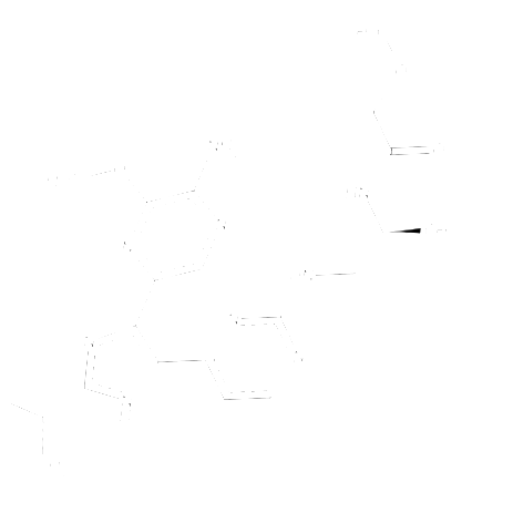 COCC(=O)N[C@@H](C)CNc1nccc(-c2[nH]c(C(C)C)nc2-c2cnc(N)c(OC)n2)n1